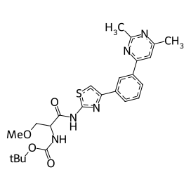 COCC(NC(=O)OC(C)(C)C)C(=O)Nc1nc(-c2cccc(-c3cc(C)nc(C)n3)c2)cs1